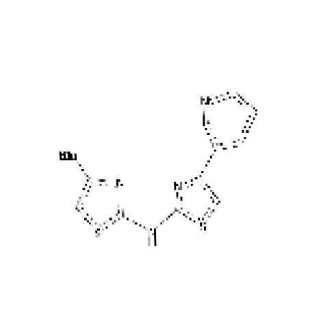 CC(C)(C)c1csc(Nc2nc(-c3cccnc3)cs2)n1